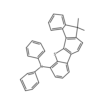 CC1(C)c2ccccc2-c2c1ccc1c2sc2c(N(c3ccccc3)c3ccccc3)cccc21